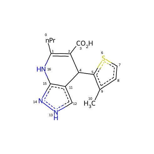 CCCC1=C(C(=O)O)C(c2sccc2C)c2c[nH]nc2N1